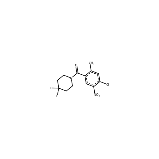 Cc1cc(Cl)c([N+](=O)[O-])cc1C(=O)N1CCC(F)(F)CC1